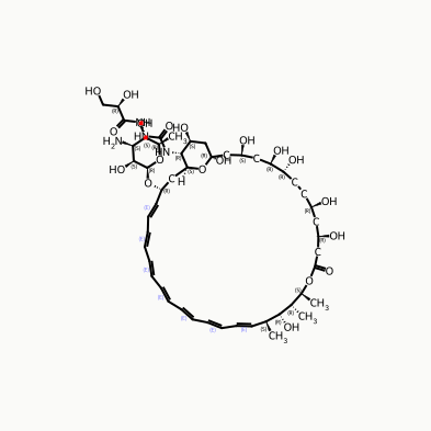 C[C@@H]1[C@H](O)[C@@H](C)/C=C/C=C/C=C/C=C/C=C/C=C/C=C/[C@H](O[C@@H]2O[C@H](C)[C@@H](O)[C@H](N)[C@@H]2O)C[C@@H]2O[C@](O)(C[C@@H](O)C[C@@H](O)[C@H](O)CC[C@@H](O)C[C@@H](O)CC(=O)O[C@H]1C)C[C@H](O)[C@H]2NC(=O)NNC(=O)[C@H](O)CO